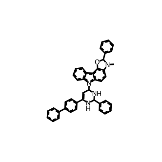 CN1c2ccc3c(c2OC1c1ccccc1)c1ccccc1n3C1C=C(c2ccc(-c3ccccc3)cc2)NC(c2ccccc2)N1